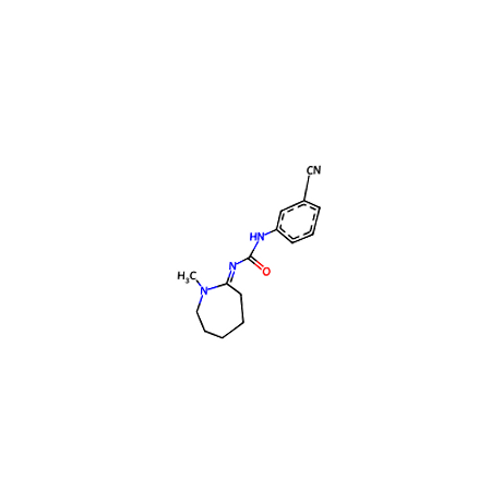 CN1CCCCCC1=NC(=O)Nc1cccc(C#N)c1